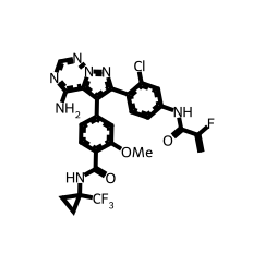 C=C(F)C(=O)Nc1ccc(-c2nn3ncnc(N)c3c2-c2ccc(C(=O)NC3(C(F)(F)F)CC3)c(OC)c2)c(Cl)c1